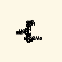 COc1ccc2ncc(=O)n(-c3cnc4c(c3)CC(O)C(NCc3ccc5c(n3)NC(=O)CO5)C4)c2n1.Cl.Cl